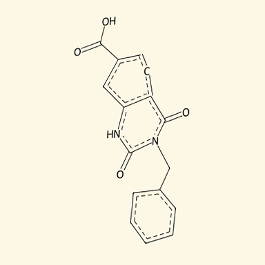 O=C(O)c1ccc2c(=O)n(Cc3ccccc3)c(=O)[nH]c2c1